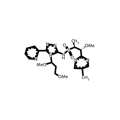 COCCC(OC)n1c(NS(=O)(=O)[C@@H](C)[C@H](OC)c2ncc(C)cn2)nnc1-c1ccccn1